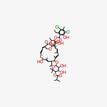 CCc1c(Cl)c(C)c(Cl)c(O)c1C(=O)OC1C(C)OC(OC/C2=C\C=C\CC(O)/C(C)=C/C(CC)C(OC3OC(C)(C)C(OC(=O)C(C)C)C(O)C3O)/C(C)=C/C(C)=C/CC(C(C)=O)OC2=O)C(C)C1O